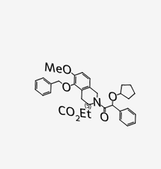 CCOC(=O)[C@@H]1Cc2c(ccc(OC)c2OCc2ccccc2)CN1C(=O)C(OC1CCCC1)c1ccccc1